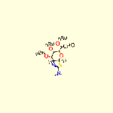 CCCCOC(C=O)[C@H]1O[C@@H]2SC(N(C)C)=N[C@@H]2[C@@H](OCCCC)[C@@H]1OCCCC